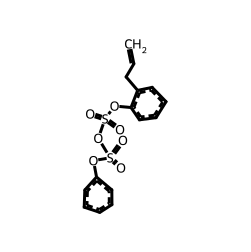 C=CCc1ccccc1OS(=O)(=O)OS(=O)(=O)Oc1ccccc1